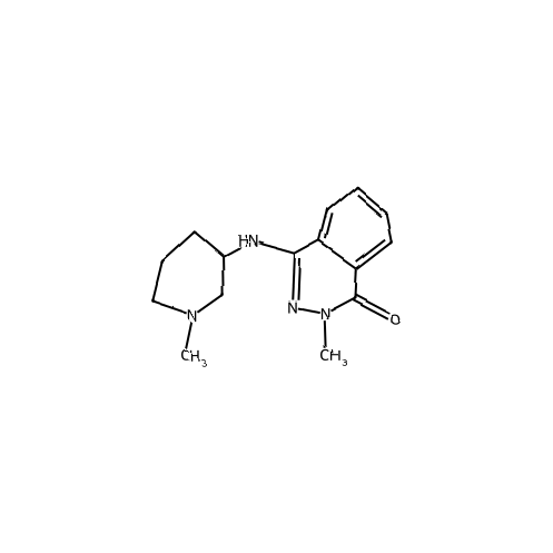 CN1CCCC(Nc2nn(C)c(=O)c3ccccc23)C1